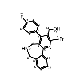 CC(C)c1nc2c(c(-c3ccc(F)cc3)c1CO)CNCc1ccccc1-2